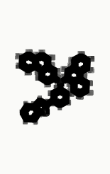 c1cc(-c2cc3ccccc3o2)cc(N(c2ccc3c(ccc4ccccc43)c2)c2cc3ccccc3c3ccccc23)c1